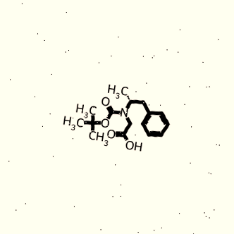 C[C@H](Cc1ccccc1)N(CC(=O)O)C(=O)OC(C)(C)C